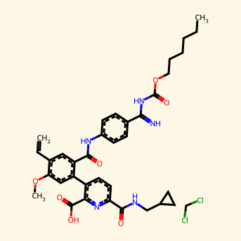 C=Cc1cc(C(=O)Nc2ccc(C(=N)NC(=O)OCCCCCC)cc2)c(-c2ccc(C(=O)NCC3CC3)nc2C(=O)O)cc1OC.ClCCl